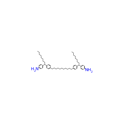 CCCCCCCCC(c1ccc(N)cc1)c1ccc(CCCCCCCCCCCc2ccc(C(CCCCCCCC)c3ccc(N)cc3)cc2)cc1